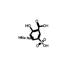 O=C(O)c1cc(S(=O)(=O)O)ccc1O.[NaH].[NaH]